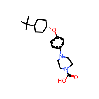 CC(C)(C)[C@H]1CC[C@H](Oc2ccc(N3CCN(C(=O)O)CC3)cc2)CC1